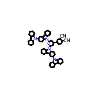 N#Cc1ccc(-c2cc(-n3c4ccccc4c4cc(-n5c6ccccc6c6ccccc65)ccc43)nc(-n3c4ccccc4c4cc(-n5c6ccccc6c6ccccc65)ccc43)c2)cc1C#N